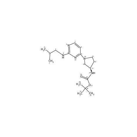 CC(C)CNc1nccc(N2CC[C@@H](NC(=O)OC(C)(C)C)C2)n1